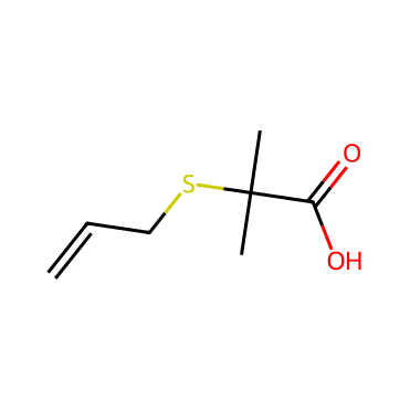 C=CCSC(C)(C)C(=O)O